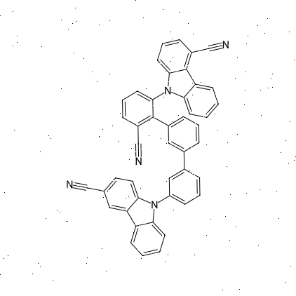 N#Cc1ccc2c(c1)c1ccccc1n2-c1cccc(-c2cccc(-c3c(C#N)cccc3-n3c4ccccc4c4c(C#N)cccc43)c2)c1